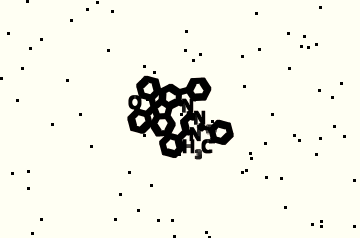 CC1C=CC=C[C@@H]1c1nc(C2=CC=CCC2)cc(-n2c3ccccc3c3ccc4c(c32)C2C=CC=CC2C42C3C=CC=CC3OC3C=CC=CC32)n1